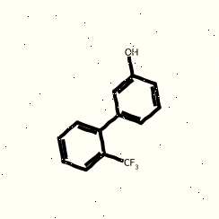 Oc1cccc(-c2ccccc2C(F)(F)F)c1